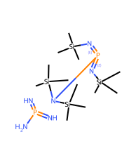 C[Si](C)(C)/N=P(=N/[Si](C)(C)C)\N([Si](C)(C)C)[Si](C)(C)C.N=P(=N)N